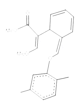 CO/C=C(\C(=O)OC)C1C=CC=C/C1=C/Oc1cc(C)ccc1C